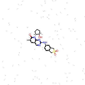 Cc1cc2cnc(Nc3ccc4c(c3)CS(=O)(=O)C4)nc2n([C@@H]2CCC[C@@]2(C)O)c1=O